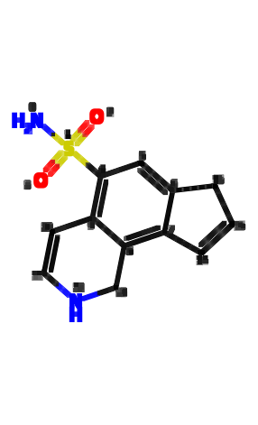 NS(=O)(=O)c1cc2c(c3c1C=CNC3)C=CC2